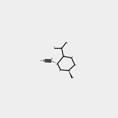 CC(C)C1CC[C@@H](C)C[C@@H]1C#N